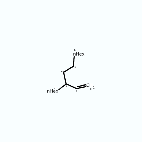 C=CC(CCCCCC)CCCCCCCC